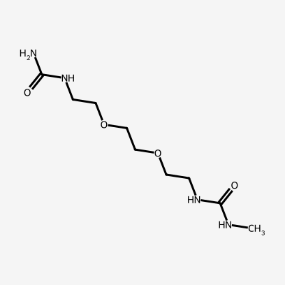 CNC(=O)NCCOCCOCCNC(N)=O